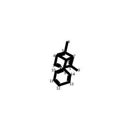 Cc1ncc2c(C)c1[C]2c1ccccc1